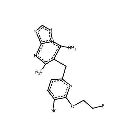 Cc1nc2ncnn2c(N)c1Cc1ccc(Br)c(OCCF)n1